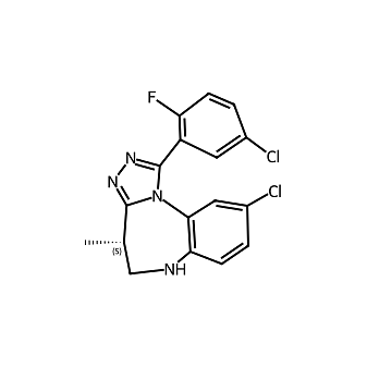 C[C@H]1CNc2ccc(Cl)cc2-n2c(-c3cc(Cl)ccc3F)nnc21